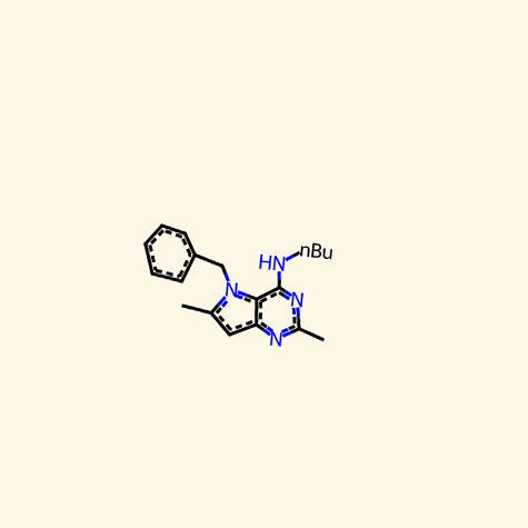 CCCCNc1nc(C)nc2cc(C)n(Cc3ccccc3)c12